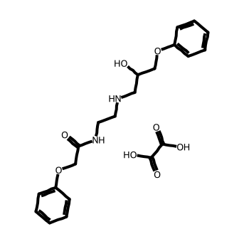 O=C(COc1ccccc1)NCCNCC(O)COc1ccccc1.O=C(O)C(=O)O